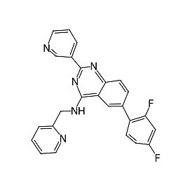 Fc1ccc(-c2ccc3nc(-c4cccnc4)nc(NCc4ccccn4)c3c2)c(F)c1